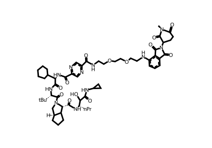 CCC[C@H](NC(=O)[C@@H]1C2CCC[C@H]2CN1C(=O)[C@@H](NC(=O)[C@@H](NC(=O)c1cnc(C(=O)NCCOCCOCCNc2cccc3c2C(=O)N(C2CCC(=O)N(C)C2=O)C3=O)cn1)C1CCCCC1)C(C)(C)C)C(O)C(=O)NC1CC1